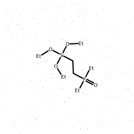 CCO[Si](CCP(=O)(CC)CC)(OCC)OCC